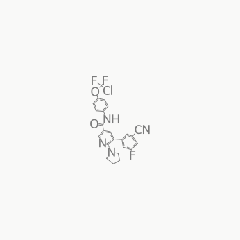 N#Cc1cc(F)cc(-c2cc(C(=O)Nc3ccc(OC(F)(F)Cl)cc3)cnc2N2CCCC2)c1